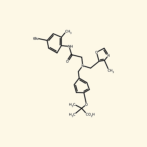 Cc1cc(C(C)(C)C)ccc1NC(=O)CN(Cc1ccc(OC(C)(C)C(=O)O)cc1)Cc1ocnc1C